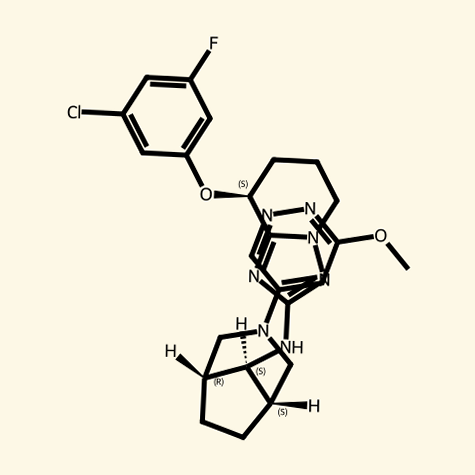 COc1cc(N2C[C@H]3CC[C@@H](C2)[C@@H]3Nc2nc3n(n2)CCC[C@@H]3Oc2cc(F)cc(Cl)c2)cnn1